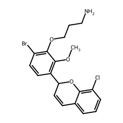 COc1c(C2C=Cc3cccc(Cl)c3O2)ccc(Br)c1OCCCN